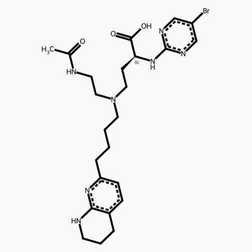 CC(=O)NCCN(CCCCc1ccc2c(n1)NCCC2)CC[C@H](Nc1ncc(Br)cn1)C(=O)O